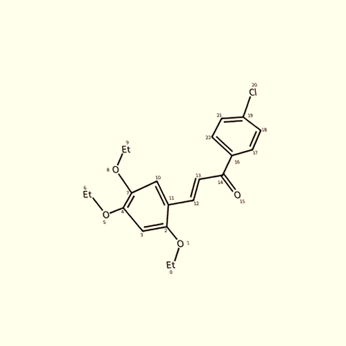 CCOc1cc(OCC)c(OCC)cc1C=CC(=O)c1ccc(Cl)cc1